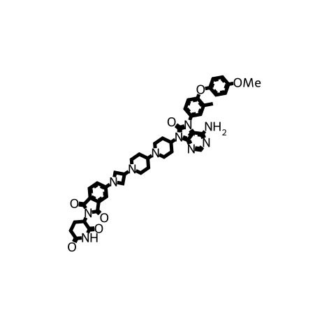 COc1ccc(Oc2ccc(-n3c(=O)n(C4CCN(C5CCN(C6CN(c7ccc8c(c7)C(=O)N(C7CCC(=O)NC7=O)C8=O)C6)CC5)CC4)c4ncnc(N)c43)cc2C)cc1